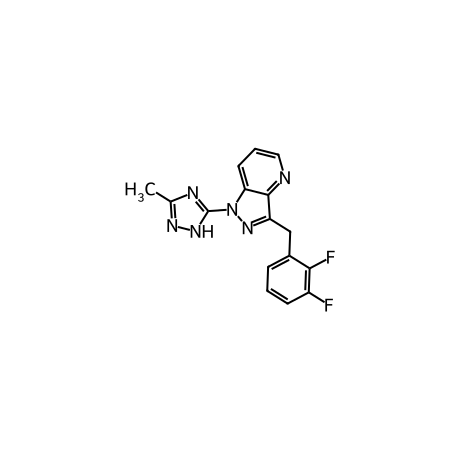 Cc1n[nH]c(-n2nc(Cc3cccc(F)c3F)c3ncccc32)n1